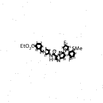 CCOC(=O)c1cccc(CN2CC[C@H](NC(=O)c3cnc4ccc(N5C[C@@H](F)C[C@@H]5c5cc(F)ccc5SC)nn34)C2)c1